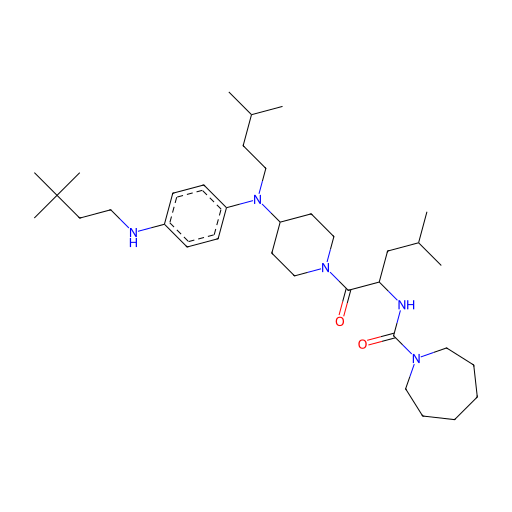 CC(C)CCN(c1ccc(NCCC(C)(C)C)cc1)C1CCN(C(=O)C(CC(C)C)NC(=O)N2CCCCCC2)CC1